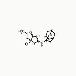 CCCC1(C)SC(NC23CC4CC(CC2C4)C3)=NC1=O